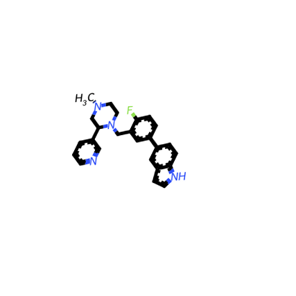 CN1CCN(Cc2cc(-c3ccc4[nH]ccc4c3)ccc2F)C(c2cccnc2)C1